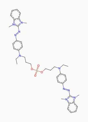 CCN(CCCOS(=O)(=O)OCCCN(CC)c1ccc(/N=N/c2n(C)c3ccccc3[n+]2C)cc1)c1ccc(/N=N/c2n(C)c3ccccc3[n+]2C)cc1